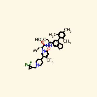 Cc1cc(C)c(-c2cc([C@H](CC(=O)O)NC(=O)[C@@H](CC(C)C)n3cc(C4CCN(CC5CC5(F)F)CC4)c(C(F)(F)F)cc3=O)cc3c2CCC3)c(C)c1